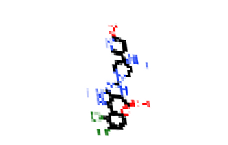 COc1ccc(C2(N)CCN(c3nc(C(=O)O)c4c(-c5cccc(Cl)c5Cl)n[nH]c4n3)CC2)cn1